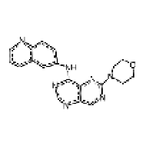 c1cnc2ccc(Nc3ncnc4cnc(N5CCOCC5)nc34)cc2c1